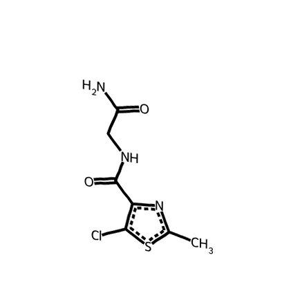 Cc1nc(C(=O)NCC(N)=O)c(Cl)s1